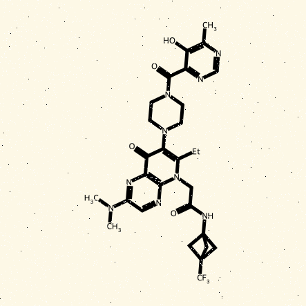 CCc1c(N2CCN(C(=O)c3ncnc(C)c3O)CC2)c(=O)c2nc(N(C)C)cnc2n1CC(=O)NC12CC(C(F)(F)F)(C1)C2